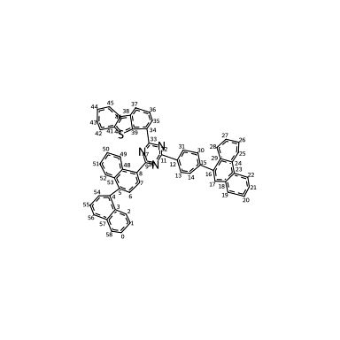 c1ccc2c(-c3ccc(-c4nc(-c5ccc(-c6cc7ccccc7c7ccccc67)cc5)nc(-c5cccc6c5sc5ccccc56)n4)c4ccccc34)cccc2c1